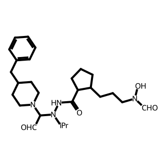 CC(C)N(NC(=O)C1CCCC1CCCN(O)C=O)C(C=O)N1CCC(Cc2ccccc2)CC1